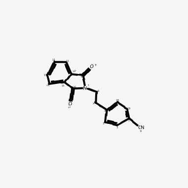 N#Cc1ccc(CCN2C(=O)c3ccccc3C2=O)cc1